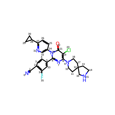 N#Cc1ccc(-c2nc(N3CCC4(CCNC4)CC3)c(Cl)c(=O)n2-c2ccc(C3CC3)nc2)cc1F